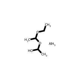 CCOC(C)OC(C)O.[AlH3]